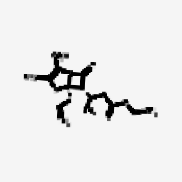 C=CC[C@]12SC(SC)=C(C(=O)O)N1C(=O)[C@@H]2C(C)OC(=O)OCC(Cl)(Cl)Cl